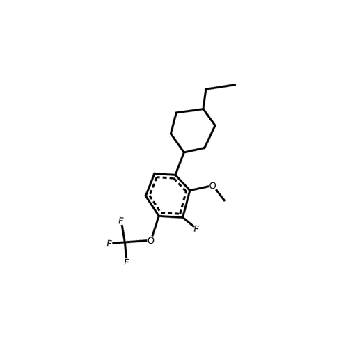 CCC1CCC(c2ccc(OC(F)(F)F)c(F)c2OC)CC1